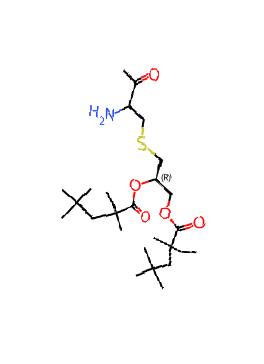 CC(=O)C(N)CSC[C@@H](COC(=O)C(C)(C)CC(C)(C)C)OC(=O)C(C)(C)CC(C)(C)C